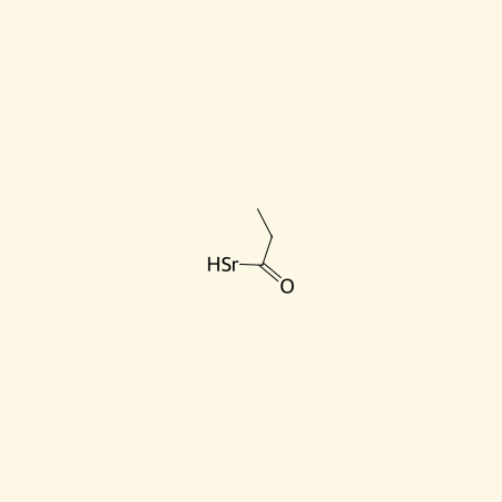 CC[C](=O)[SrH]